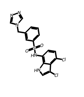 O=S(=O)(Nc1ccc(Cl)c2c(Cl)c[nH]c12)c1cccc(Cn2cnnc2)c1